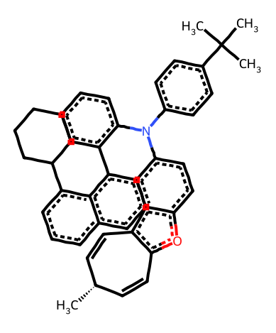 C[C@H]1C=Cc2oc3ccc(N(c4ccc(C(C)(C)C)cc4)c4ccccc4-c4cccc5cccc(C6CCCCC6)c45)cc3c2C=C1